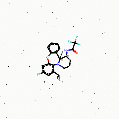 C=Cc1cc(F)cc2c1N1CCC[C@H](NC(=O)C(F)(F)F)[C@H]1c1ccccc1O2